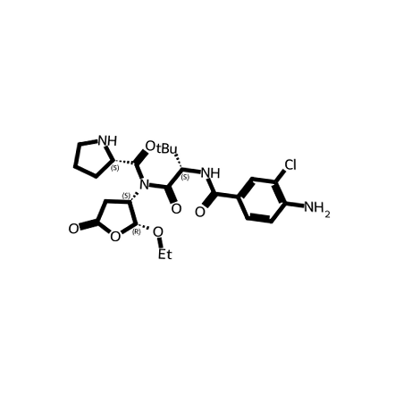 CCO[C@@H]1OC(=O)C[C@@H]1N(C(=O)[C@@H]1CCCN1)C(=O)[C@@H](NC(=O)c1ccc(N)c(Cl)c1)C(C)(C)C